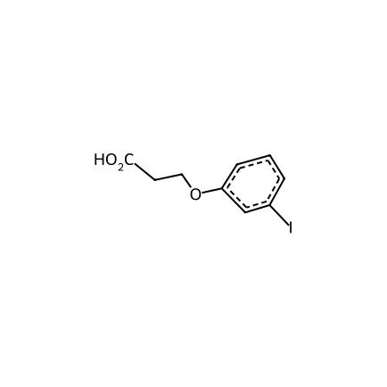 O=C(O)CCOc1cccc(I)c1